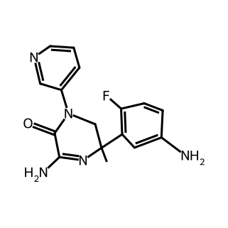 CC1(c2cc(N)ccc2F)CN(c2cccnc2)C(=O)C(N)=N1